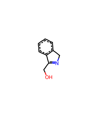 OCC1=NCc2ccccc21